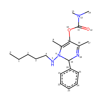 CCCCCNN1C(C)=C(OC(=O)N(C)C)C(C)=NC1c1ccccc1